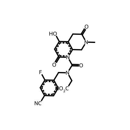 CN1Cc2c(c(O)cc(=O)n2C(=O)N(CC(=O)O)Cc2ccc(C#N)cc2F)CC1=O